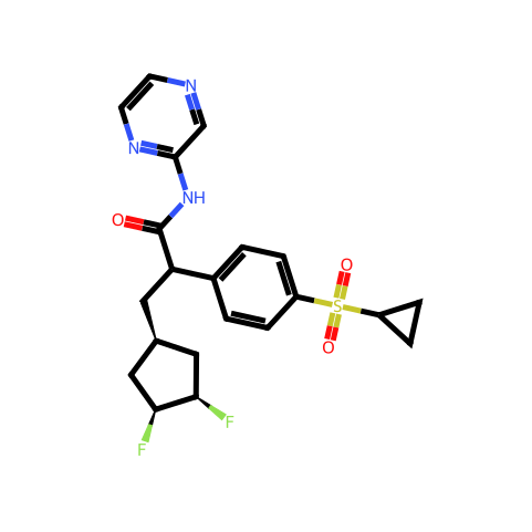 O=C(Nc1cnccn1)C(C[C@H]1C[C@@H](F)[C@@H](F)C1)c1ccc(S(=O)(=O)C2CC2)cc1